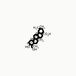 CC1(C)CC[C@]2(C(=O)O)CC[C@]3(C)C(=CC[C@@H]4[C@@]5(C)CC[C@H](O)[C@](C)(CO)C5CC[C@]43C)[C@@H]2C1